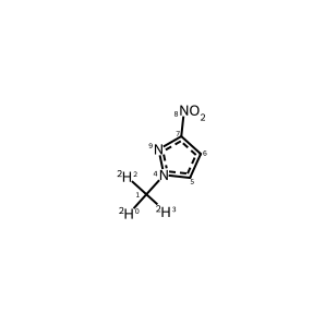 [2H]C([2H])([2H])n1ccc([N+](=O)[O-])n1